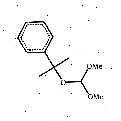 CO[C](OC)OC(C)(C)c1ccccc1